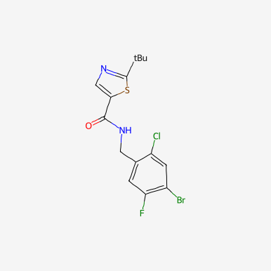 CC(C)(C)c1ncc(C(=O)NCc2cc(F)c(Br)cc2Cl)s1